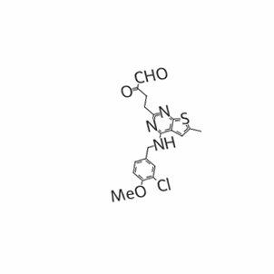 COc1ccc(CNc2nc(CCC(=O)C=O)nc3sc(C)cc23)cc1Cl